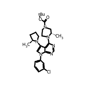 C[C@H]1CCCN1c1cn(-c2cccc(Cl)c2)c2ncnc(N3CCN(C(=O)OC(C)(C)C)C[C@@H]3C)c12